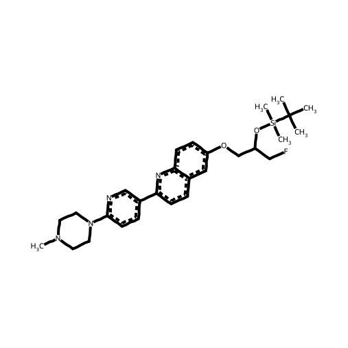 CN1CCN(c2ccc(-c3ccc4cc(OCC(CF)O[Si](C)(C)C(C)(C)C)ccc4n3)cn2)CC1